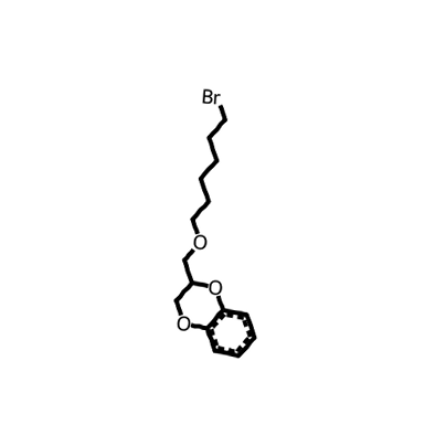 BrCCCCCCOCC1COc2ccccc2O1